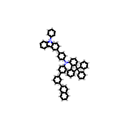 c1ccc(-n2c3ccccc3c3cc(-c4ccc(N(c5ccc(-c6cccc(-c7ccc8ccccc8c7)c6)cc5)c5cccc6c5-c5ccccc5C6(c5ccccc5)c5ccccc5)cc4)ccc32)cc1